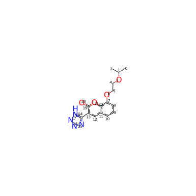 CC(C)OCCOc1cccc2cc(-c3nnn[nH]3)c(=O)oc12